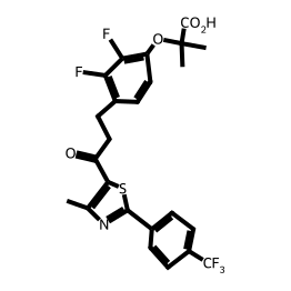 Cc1nc(-c2ccc(C(F)(F)F)cc2)sc1C(=O)CCc1ccc(OC(C)(C)C(=O)O)c(F)c1F